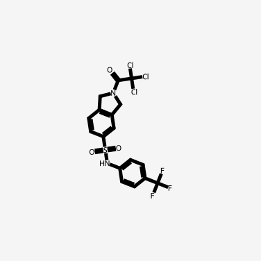 O=C(N1Cc2ccc(S(=O)(=O)Nc3ccc(C(F)(F)F)cc3)cc2C1)C(Cl)(Cl)Cl